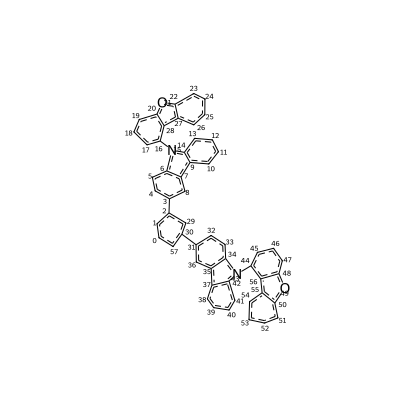 c1cc(-c2ccc3c(c2)c2ccccc2n3-c2cccc3oc4ccccc4c23)cc(-c2ccc3c(c2)c2ccccc2n3-c2cccc3oc4ccccc4c23)c1